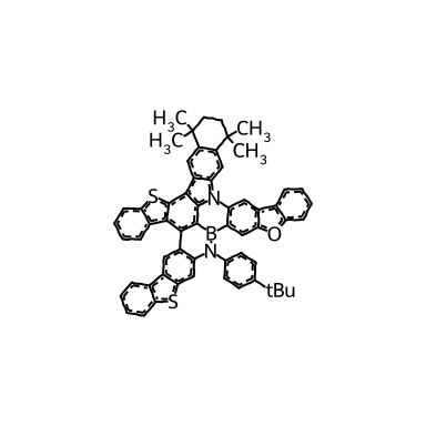 CC(C)(C)c1ccc(N2B3c4cc5oc6ccccc6c5cc4-n4c5cc6c(cc5c5c7sc8ccccc8c7c(c3c54)-c3cc4c(cc32)sc2ccccc24)C(C)(C)CCC6(C)C)cc1